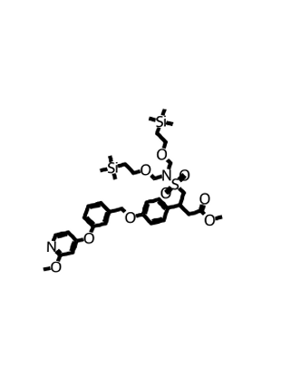 COC(=O)CC(CS(=O)(=O)N(COCC[Si](C)(C)C)COCC[Si](C)(C)C)c1ccc(OCc2cccc(Oc3ccnc(OC)c3)c2)cc1